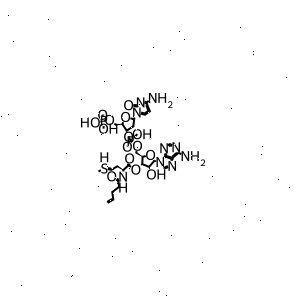 C=CCCC(=O)N[C@@H](CC=[SH]C)C(=O)O[C@H]1[C@@H](O)[C@H](n2cnc3c(N)ncnc32)O[C@@H]1COP(=O)(O)O[C@H]1C[C@H](n2ccc(N)nc2=O)O[C@@H]1COP(=O)(O)O